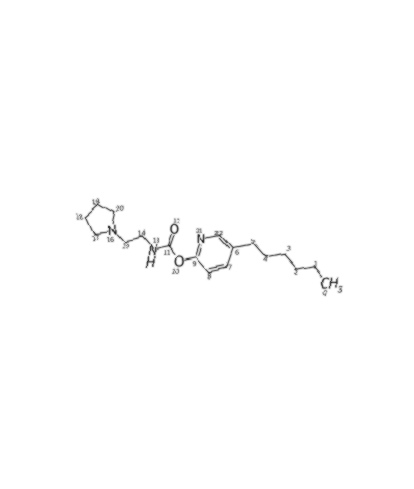 CCCCCCc1ccc(OC(=O)NCCN2CCCC2)nc1